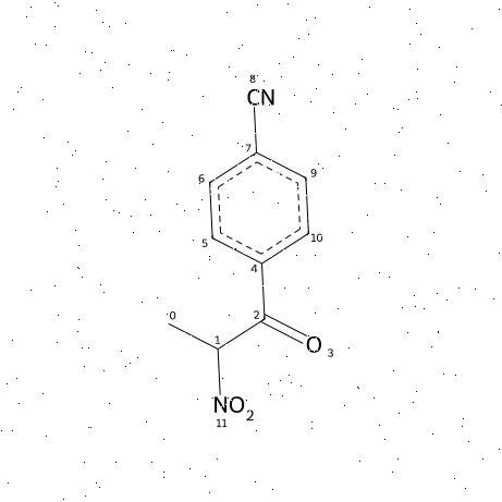 CC(C(=O)c1ccc(C#N)cc1)[N+](=O)[O-]